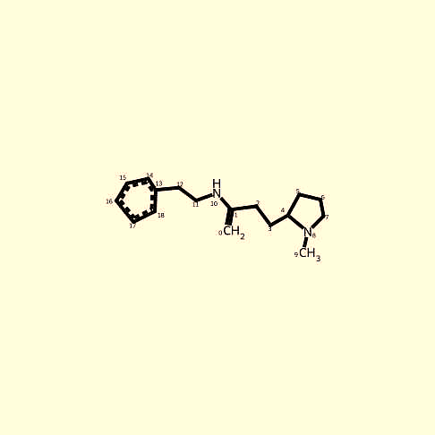 C=C(CCC1CCCN1C)NCCc1ccccc1